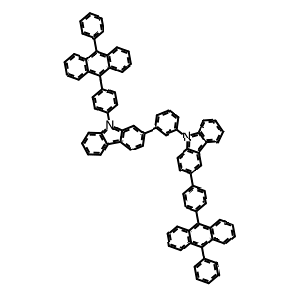 c1ccc(-c2c3ccccc3c(-c3ccc(-c4ccc5c(c4)c4ccccc4n5-c4cccc(-c5ccc6c7ccccc7n(-c7ccc(-c8c9ccccc9c(-c9ccccc9)c9ccccc89)cc7)c6c5)c4)cc3)c3ccccc23)cc1